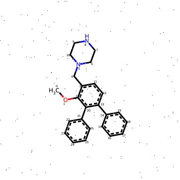 COc1c(CN2CCNCC2)ccc(-c2ccccc2)c1-c1ccccc1